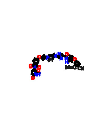 COc1cc(OC2C(C)(C)C(NC(=O)c3cnc(N4CC(CN(C(C)C)C5CC(Oc6ccc7c(c6)C(=O)N([C@@H]6CCC(=O)NC6=O)C7=O)C5)C4)cn3)C2(C)C)ccc1C#N